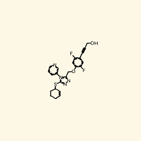 OCC#Cc1cc(F)c(OCc2nnc(SC3C=CCCC3)n2-c2cccnc2)cc1F